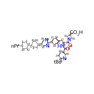 CCCC1CCC(C2CCC(c3cnc(-c4ccc(CC(NC(=O)c5ccc(C(C)(C)C)nc5)C(=O)N5CC(C(=O)O)C5)cc4)nc3)CC2)CC1